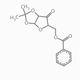 CC1(C)OC2OC(COC(=O)c3ccccc3)C(=O)C2O1